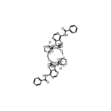 O=C(Nc1ncnc2c1ncn2[C@@H]1O[C@@]23CO[C@@H]1[C@@H]2O[P@@](=O)(S)OC[C@@]12CO[C@@H]([C@H](n4cnc5c(NC(=O)c6ccccc6)ncnc54)O1)[C@@H]2O[P@@](=O)(S)OC3)c1ccccc1